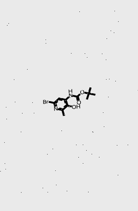 Cc1nc(Br)cc(NC(=O)OC(C)(C)C)c1O